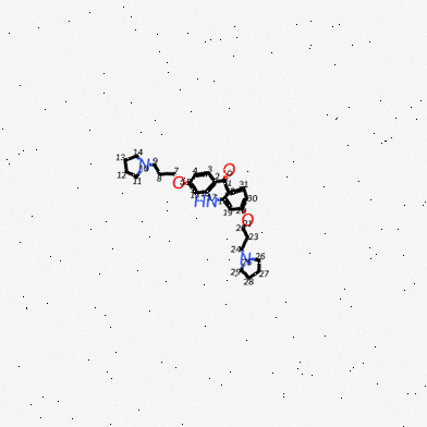 O=c1c2ccc(OCCCN3CCCC3)cc2[nH]c2cc(OCCCN3CCCC3)ccc12